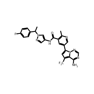 Cc1ncc(-c2cc(C(F)(F)F)c3c(N)ncnn23)cc1C(=O)Nc1cnn(C(C)c2ccc(F)cc2)c1